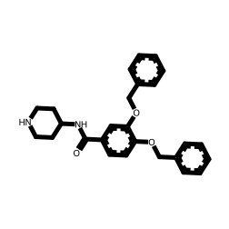 O=C(NC1CCNCC1)c1ccc(OCc2ccccc2)c(OCc2ccccc2)c1